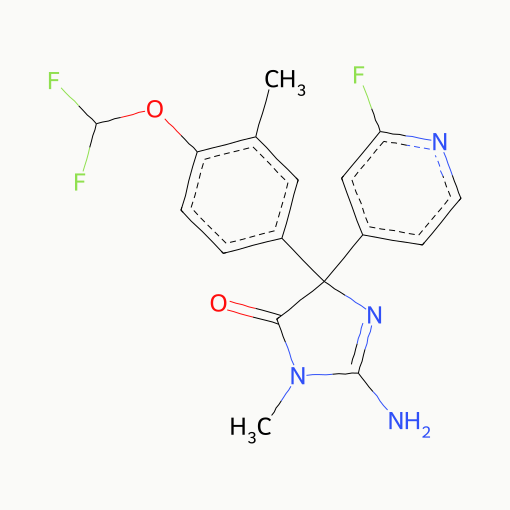 Cc1cc(C2(c3ccnc(F)c3)N=C(N)N(C)C2=O)ccc1OC(F)F